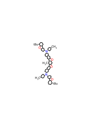 Cc1ccc(N(c2ccc3cc4c(cc3c2)oc2cc3oc5cc6cc(N(c7ccc(C)cc7)c7ccc8oc9c(C(C)(C)C)cccc9c8c7)ccc6cc5c3c(C)c24)c2ccc3oc4c(C(C)(C)C)cccc4c3c2)cc1